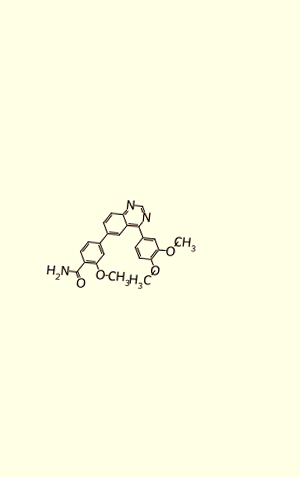 COc1ccc(-c2ncnc3ccc(-c4ccc(C(N)=O)c(OC)c4)cc23)cc1OC